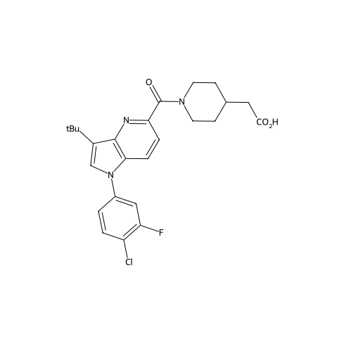 CC(C)(C)c1cn(-c2ccc(Cl)c(F)c2)c2ccc(C(=O)N3CCC(CC(=O)O)CC3)nc12